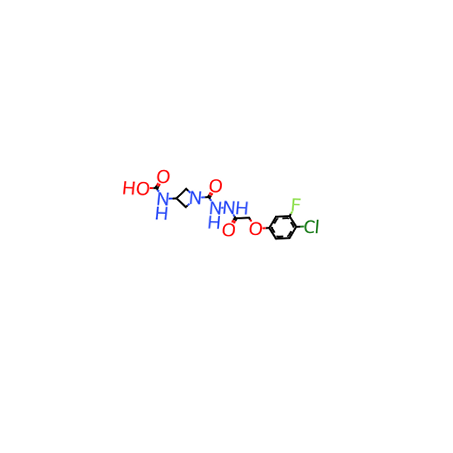 O=C(O)NC1CN(C(=O)NNC(=O)COc2ccc(Cl)c(F)c2)C1